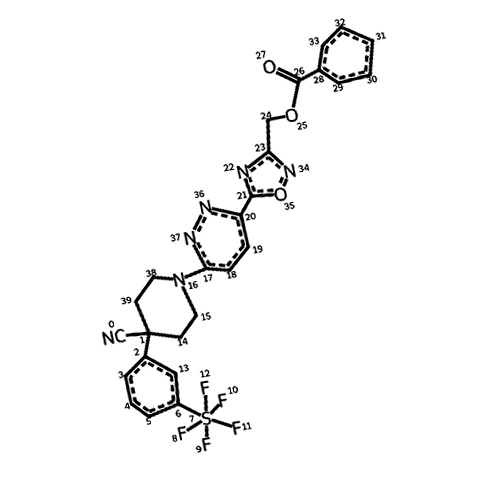 N#CC1(c2cccc(S(F)(F)(F)(F)F)c2)CCN(c2ccc(-c3nc(COC(=O)c4ccccc4)no3)nn2)CC1